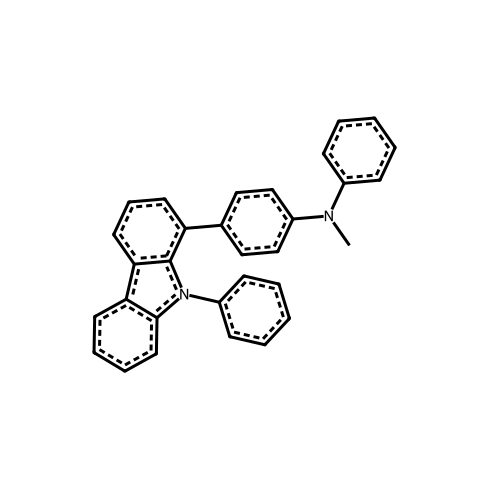 CN(c1ccccc1)c1ccc(-c2cccc3c4ccccc4n(-c4ccccc4)c23)cc1